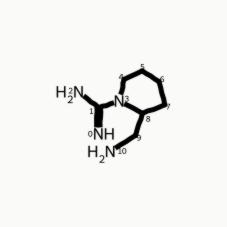 N=C(N)N1CCCCC1CN